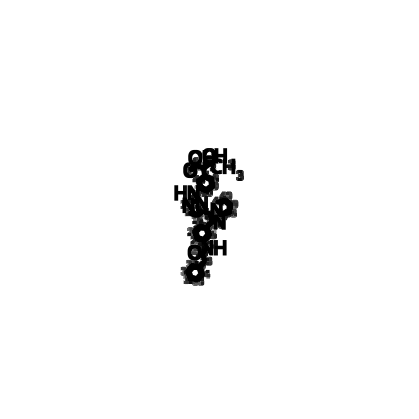 CC(C)C(C(=O)O)c1cccc(Nc2nccc(-c3c(-c4cccc(NC(=O)Cc5ccccc5)c4)nc4ccccn34)n2)c1